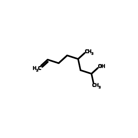 C=CCCC(C)CC(C)O